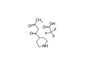 CC(=O)CC(=O)C1CCNCC1.O=C(O)C(F)(F)F